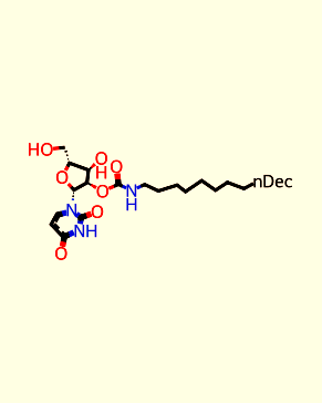 CCCCCCCCCCCCCCCCCCNC(=O)O[C@@H]1[C@H](O)[C@@H](CO)O[C@H]1n1ccc(=O)[nH]c1=O